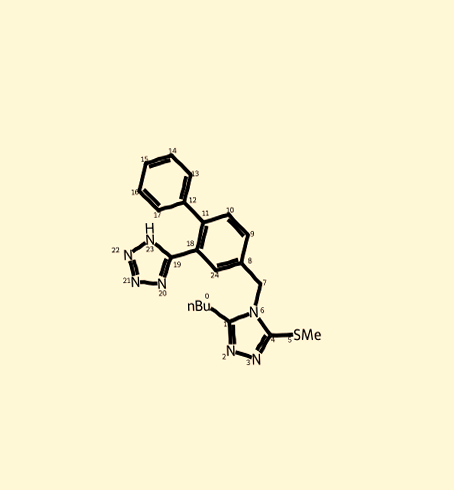 CCCCc1nnc(SC)n1Cc1ccc(-c2ccccc2)c(-c2nnn[nH]2)c1